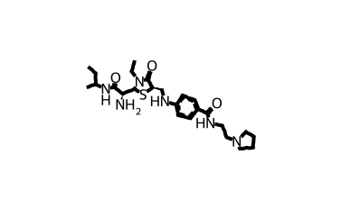 CCC(C)NC(=O)[C@@H](N)C1S[C@H](CNc2ccc(C(=O)NCCN3CCCC3)cc2)C(=O)N1CC